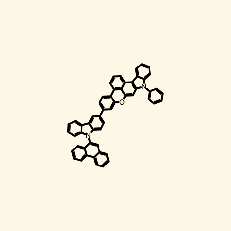 c1ccc(-n2c3ccccc3c3c4cccc5c4c(cc32)Oc2cc(-c3ccc4c(c3)c3ccccc3n4-c3cc4ccccc4c4ccccc34)ccc2-5)cc1